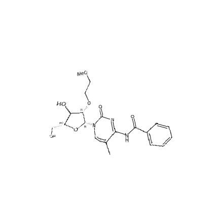 COCCO[C@H]1C(O)[C@@H](CO)O[C@H]1n1cc(C)c(NC(=O)c2ccccc2)nc1=O